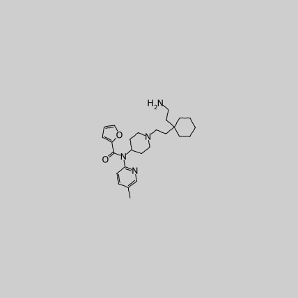 Cc1ccc(N(C(=O)c2ccco2)C2CCN(CCC3(CCN)CCCCC3)CC2)nc1